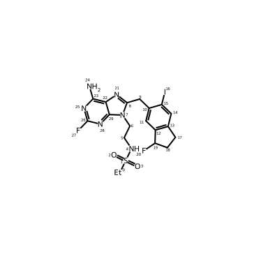 CCS(=O)(=O)NCCn1c(Cc2cc3c(cc2I)CCC3F)nc2c(N)nc(F)nc21